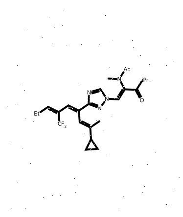 CC/C=C(/C=C(\C=C(/C)C1CC1)c1ncn(/C=C(/C(=O)C(C)C)N(C)C(C)=O)n1)C(F)(F)F